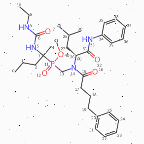 CCCC(C)(NC(=O)NCC)P(=O)(CN(C(=O)CCCc1ccccc1)[C@@H](CC(C)C)C(=O)Nc1ccccc1)OC